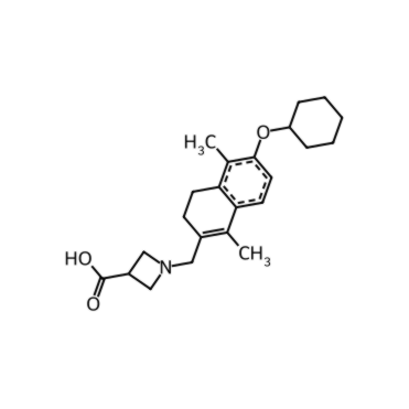 CC1=C(CN2CC(C(=O)O)C2)CCc2c1ccc(OC1CCCCC1)c2C